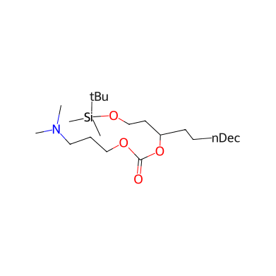 CCCCCCCCCCCCC(CCO[Si](C)(C)C(C)(C)C)OC(=O)OCCCN(C)C